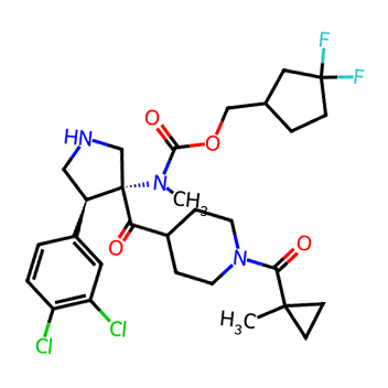 CN(C(=O)OCC1CCC(F)(F)C1)[C@@]1(C(=O)C2CCN(C(=O)C3(C)CC3)CC2)CNC[C@@H]1c1ccc(Cl)c(Cl)c1